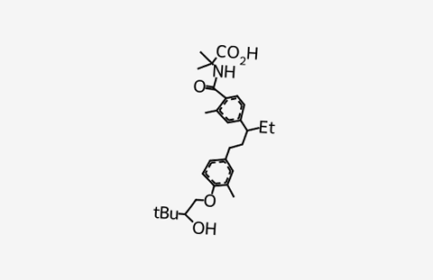 CCC(CCc1ccc(OCC(O)C(C)(C)C)c(C)c1)c1ccc(C(=O)NC(C)(C)C(=O)O)c(C)c1